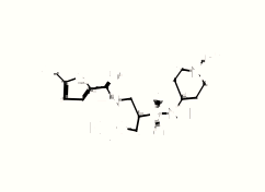 CC(C)N1CCC(NS(=O)(=O)C(CNC(=O)c2ccc(Cl)s2)CC(=O)O)CC1